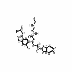 CCNCCNC(=O)CN(CC(=O)N(C)N1Cc2ccc(F)cc2C1)c1cc2c(cnn2CC(F)F)cc1C